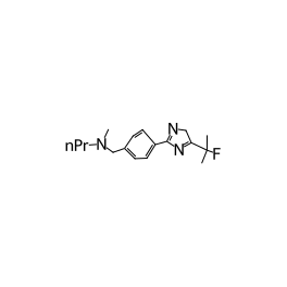 CCCN(C)Cc1ccc(C2=NCC(C(C)(C)F)=N2)cc1